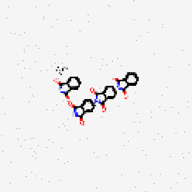 O=C1[N-]C(=O)c2ccccc21.O=C1[N-]C(=O)c2ccccc21.O=C1[N-]C(=O)c2ccccc21.O=C1[N-]C(=O)c2ccccc21.[Au+3].[K+]